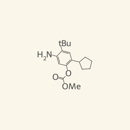 COC(=O)Oc1cc(N)c(C(C)(C)C)cc1C1CCCC1